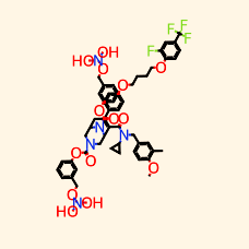 COc1ccc(CN(C(=O)C2=C(c3ccc(OCCCCOc4ccc(C(F)(F)F)cc4F)cc3)CC3CN(C(=O)Oc4cccc(CON(O)O)c4)CC2N3C(=O)Oc2cccc(CON(O)O)c2)C2CC2)cc1C